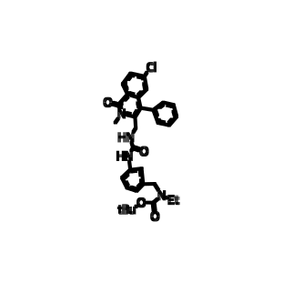 CCN(Cc1cccc(NC(=O)NCc2c(-c3ccccc3)c3cc(Cl)ccc3c(=O)n2C)c1)C(=O)OC(C)(C)C